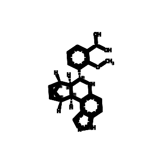 COc1c(B(O)O)cccc1[C@@H]1Nc2ccc3[nH]ncc3c2[C@@H]2[C@H]1[C@H]1C=C[C@@H]2C1